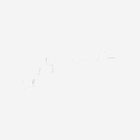 CC(=O)c1ccc(CCCCCOc2c(C)cc(C3=NCCO3)cc2C)o1